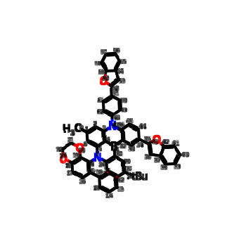 Cc1cc2c3c(c1)N(c1c(-c4ccccc4)ccc4c1OCCO4)c1ccc(C(C)(C)C)cc1B3c1cc(-c3cc4ccccc4o3)ccc1N2c1ccc(-c2cc3ccccc3o2)cc1